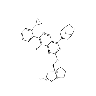 Fc1c(-c2ccccc2C2CC2)ncc2c(N3CC4CCC(C4)C3)nc(OC[C@@]34CCCN3C[C@H](F)C4)nc12